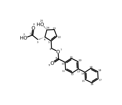 O=C(O)C[C@H]1C(COC(=O)c2ccc(-c3ccccc3)cc2)=CC[C@H]1O